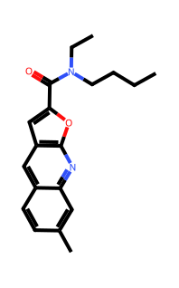 CCCCN(CC)C(=O)c1cc2cc3ccc(C)cc3nc2o1